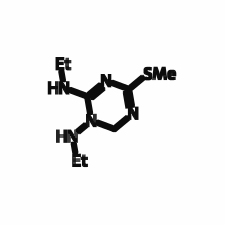 CCNC1=NC(SC)=NCN1NCC